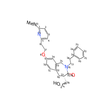 CNc1cccc(CCOc2ccc3c(c2)CN(CCc2ccccc2)C(=O)[C@H](CC(=O)O)C3)n1